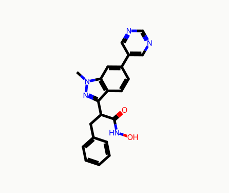 Cn1nc(C(Cc2ccccc2)C(=O)NO)c2ccc(-c3cncnc3)cc21